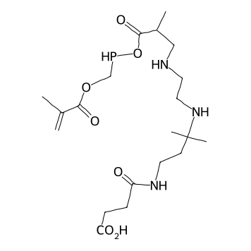 C=C(C)C(=O)OCPOC(=O)C(C)CNCCNC(C)(C)CCNC(=O)CCC(=O)O